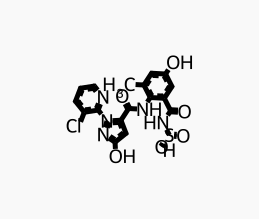 Cc1cc(O)cc(C(=O)N[SH](=O)=O)c1NC(=O)c1cc(O)nn1-c1ncccc1Cl